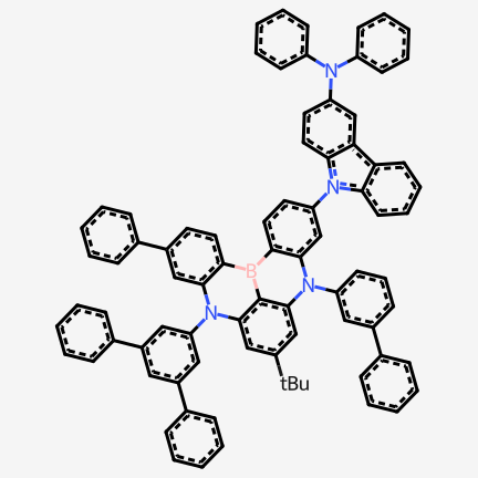 CC(C)(C)c1cc2c3c(c1)N(c1cccc(-c4ccccc4)c1)c1cc(-n4c5ccccc5c5cc(N(c6ccccc6)c6ccccc6)ccc54)ccc1B3c1ccc(-c3ccccc3)cc1N2c1cc(-c2ccccc2)cc(-c2ccccc2)c1